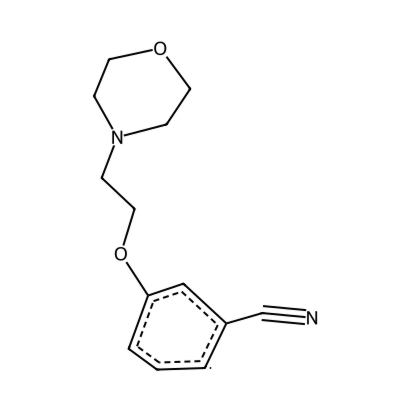 N#Cc1[c]ccc(OCCN2CCOCC2)c1